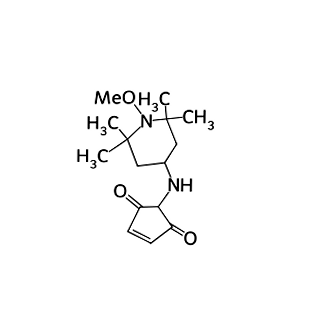 CON1C(C)(C)CC(NC2C(=O)C=CC2=O)CC1(C)C